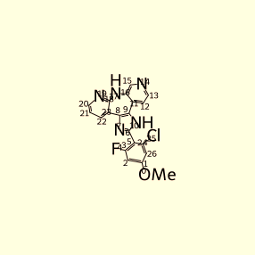 COc1cc(F)c(-c2nc3c([nH]2)-c2ccncc2Nc2ncccc2-3)c(Cl)c1